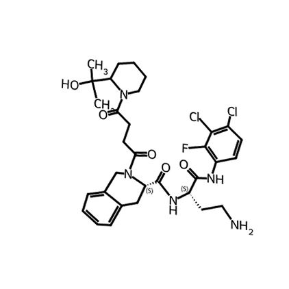 CC(C)(O)C1CCCCN1C(=O)CCC(=O)N1Cc2ccccc2C[C@H]1C(=O)N[C@@H](CCN)C(=O)Nc1ccc(Cl)c(Cl)c1F